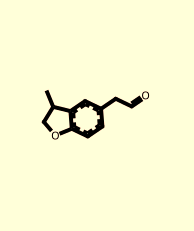 CC1COc2ccc(CC=O)cc21